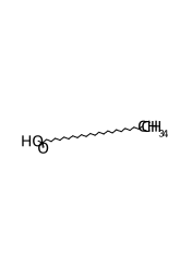 C.CCCCCCCCCCCCCCCCCCCCCCCC(=O)O